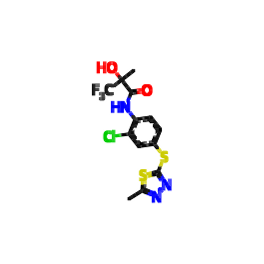 Cc1nnc(Sc2ccc(NC(=O)C(C)(O)C(F)(F)F)c(Cl)c2)s1